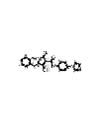 O=C(Nc1ccc(-n2ccnc2)cc1)C1=C(O)C(Cc2ccccc2)NC1=O